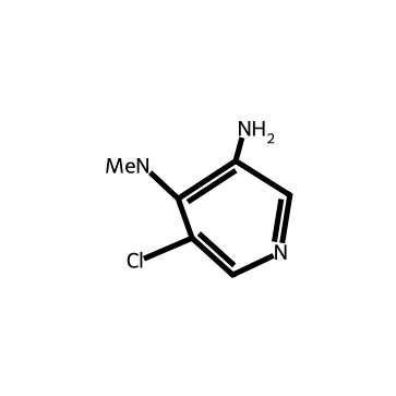 CNc1c(N)cncc1Cl